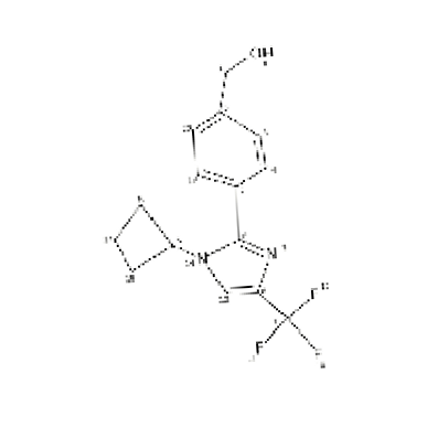 OCc1ccc(-c2nc(C(F)(F)F)cn2C2CCC2)cc1